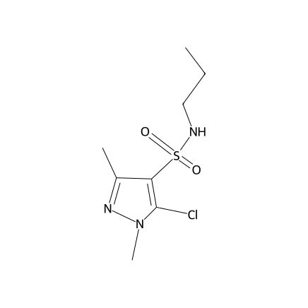 CCCNS(=O)(=O)c1c(C)nn(C)c1Cl